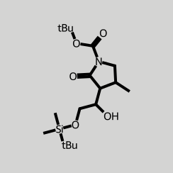 CC1CN(C(=O)OC(C)(C)C)C(=O)C1C(O)CO[Si](C)(C)C(C)(C)C